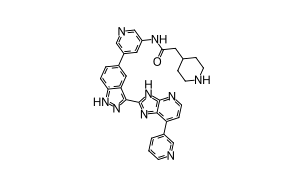 O=C(CC1CCNCC1)Nc1cncc(-c2ccc3[nH]nc(-c4nc5c(-c6cccnc6)ccnc5[nH]4)c3c2)c1